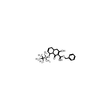 CC(C)(C)[Si](C)(C)OC1C=CCC2CC(O)=C(C(=N)OCc3ccccc3)C(=O)C21